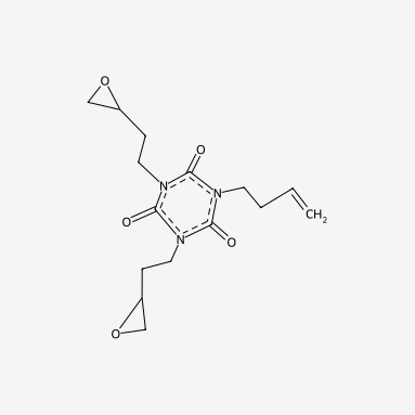 C=CCCn1c(=O)n(CCC2CO2)c(=O)n(CCC2CO2)c1=O